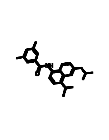 Cc1cc(C)cc(C(=O)Nc2ccc(C(C)C)c3cc(CC(C)C)ccc23)c1